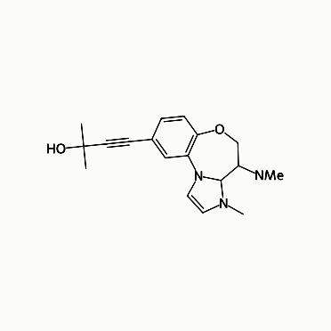 CNC1COc2ccc(C#CC(C)(C)O)cc2N2C=CN(C)C12